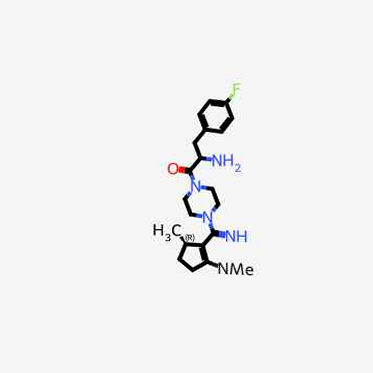 CNC1=C(C(=N)N2CCN(C(=O)C(N)Cc3ccc(F)cc3)CC2)[C@H](C)CC1